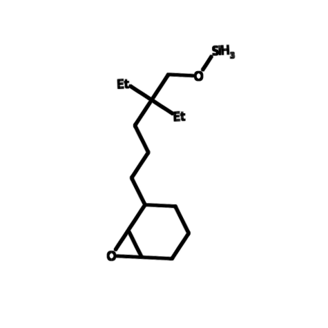 CCC(CC)(CCCC1CCCC2OC12)CO[SiH3]